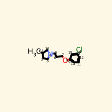 CC1CCN(CCCOc2cccc(Cl)c2)C1